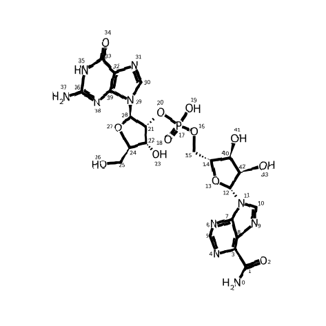 NC(=O)c1ncnc2c1ncn2[C@@H]1O[C@H](COP(=O)(O)O[C@@H]2[C@H](O)[C@@H](CO)O[C@H]2n2cnc3c(=O)[nH]c(N)nc32)[C@@H](O)[C@H]1O